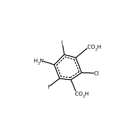 Nc1c(I)c(C(=O)O)c(Cl)c(C(=O)O)c1I